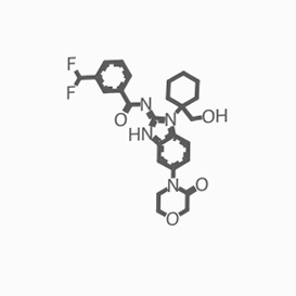 O=C(/N=c1\[nH]c2cc(N3CCOCC3=O)ccc2n1C1(CO)CCCCC1)c1cccc(C(F)F)c1